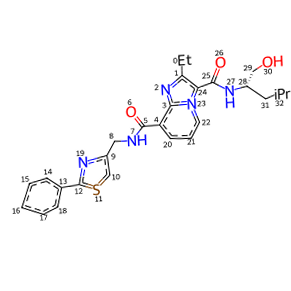 CCc1nc2c(C(=O)NCc3csc(-c4ccccc4)n3)cccn2c1C(=O)N[C@H](CO)CC(C)C